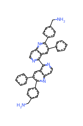 NCc1ccc(-c2nc3ccnc(-c4nccc5nc(-c6ccc(CN)cc6)c(-c6ccccc6)cc45)c3cc2-c2ccccc2)cc1